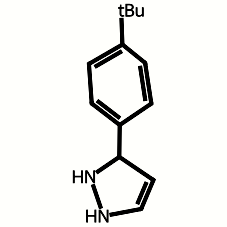 CC(C)(C)c1ccc(C2C=CNN2)cc1